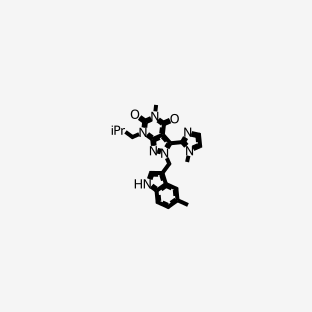 Cc1ccc2[nH]cc(Cn3nc4c(c3-c3nccn3C)c(=O)n(C)c(=O)n4CC(C)C)c2c1